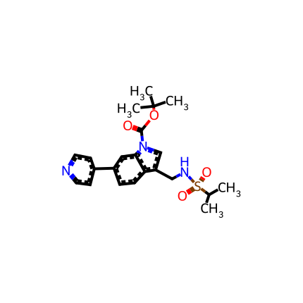 CC(C)S(=O)(=O)NCc1cn(C(=O)OC(C)(C)C)c2cc(-c3ccncc3)ccc12